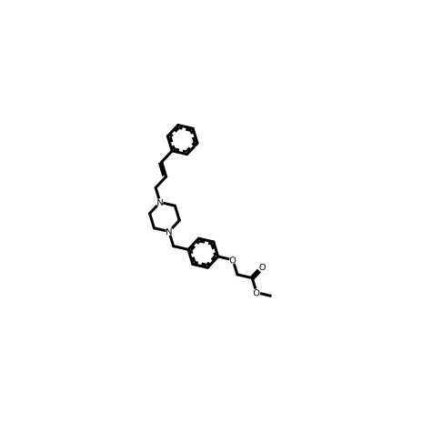 COC(=O)COc1ccc(CN2CCN(C/C=C/c3ccccc3)CC2)cc1